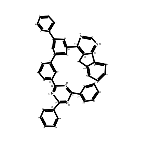 c1ccc(-c2cc(-c3cccc(-c4nc(-c5ccccc5)nc(-c5ccccc5)n4)c3)cc(-c3ncnc4c3Cc3ccccc3-4)c2)cc1